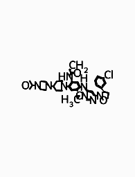 C=CC(=O)Nc1cc(Nc2cc(N3OCC[C@@H]3c3cccc(Cl)c3)ncn2)c(OC)cc1N1CCC(N2CCN(C3COC3)CC2)CC1